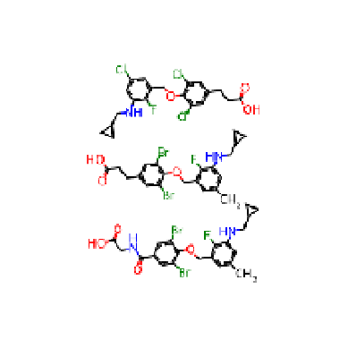 Cc1cc(COc2c(Br)cc(C(=O)NCC(=O)O)cc2Br)c(F)c(NCC2CC2)c1.Cc1cc(COc2c(Br)cc(CCC(=O)O)cc2Br)c(F)c(NCC2CC2)c1.O=C(O)CCc1cc(Cl)c(OCc2cc(Cl)cc(NCC3CC3)c2F)c(Cl)c1